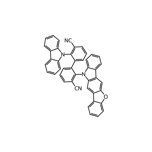 N#Cc1cccc(-c2cccc(C#N)c2-n2c3ccccc3c3cc4oc5ccccc5c4cc32)c1-n1c2ccccc2c2ccccc21